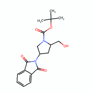 CC(C)(C)OC(=O)N1CC(N2C(=O)c3ccccc3C2=O)CC1CO